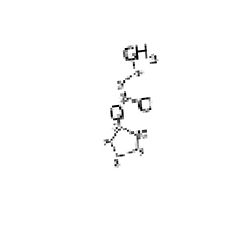 C[CH]CC(=O)OC1CCCC1